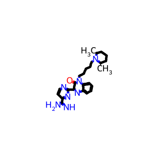 C[C@@H]1CCC[C@H](C)N1CCCCCn1c(=O)c(-c2nccc(C(=N)N)n2)nc2ccccc21